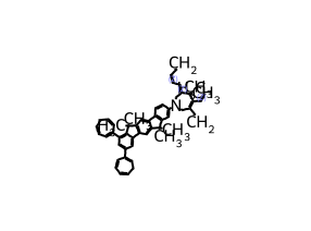 C=C/C=C\C=C1/CN(c2ccc3c(c2)C(C)(C)c2cc4c(cc2-3)C(C)(C)c2c(C3=CC=CCC=C3)cc(C3=CCC=CC=C3)cc2-4)CC(C=C)=C(/C=C\C)C1(C)C